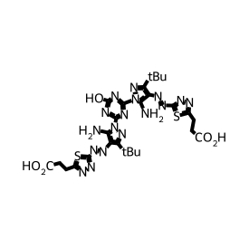 CC(C)(C)c1nn(-c2nc(O)nc(-n3nc(C(C)(C)C)c(N=Nc4nnc(CCC(=O)O)s4)c3N)n2)c(N)c1N=Nc1nnc(CCC(=O)O)s1